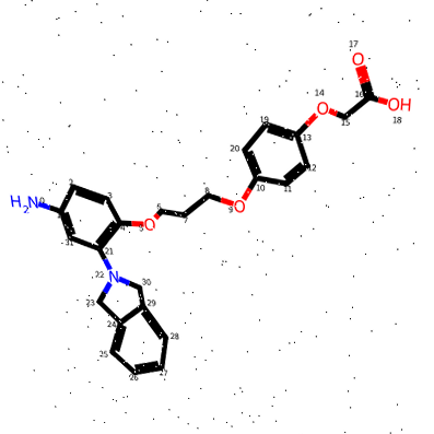 Nc1ccc(OCCCOc2ccc(OCC(=O)O)cc2)c(N2Cc3ccccc3C2)c1